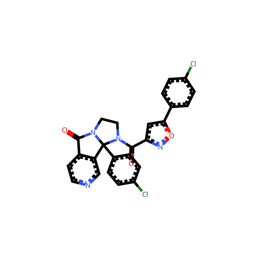 O=C(c1cc(-c2ccc(Cl)cc2)on1)N1CCN2C(=O)c3ccncc3C12c1ccc(Cl)cc1